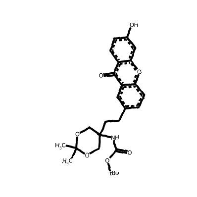 CC(C)(C)OC(=O)NC1(CCc2ccc3oc4cc(O)ccc4c(=O)c3c2)COC(C)(C)OC1